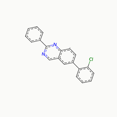 Clc1ccccc1-c1c[c]c2nc(-c3ccccc3)ncc2c1